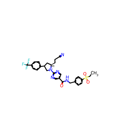 CCS(=O)(=O)c1ccc(CNC(=O)c2cnc(N3CC(c4ccc(C(F)(F)F)cc4)C[C@H]3CCC#N)nc2)cc1